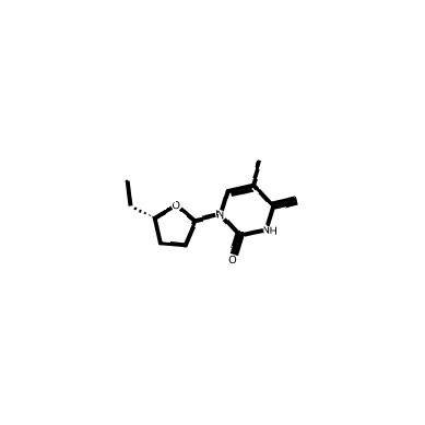 C=C1NC(=O)N(C2CC[C@H](CC)O2)C=C1C